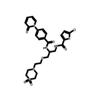 O=C(NC(CNC(=O)c1ccc(Cl)s1)COCCN1CCS(=O)(=O)CC1)c1ccc(-n2ccccc2=O)cc1